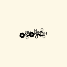 NN(C(=O)c1ccc(NC(=O)c2cc(=O)[nH]c(=O)[nH]2)cc1)c1ccccc1